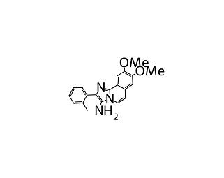 COc1cc2ccn3c(N)c(-c4ccccc4C)nc3c2cc1OC